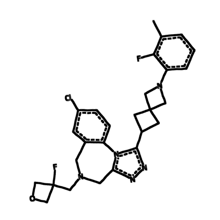 Cc1cccc(N2CC3(CC(c4nnc5n4-c4ccc(Cl)cc4CN(CC4(F)COC4)C5)C3)C2)c1F